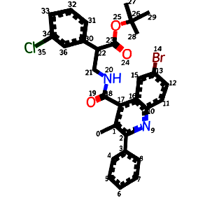 Cc1c(-c2ccccc2)nc2ccc(Br)cc2c1C(=O)NCC(C(=O)OC(C)(C)C)c1cccc(Cl)c1